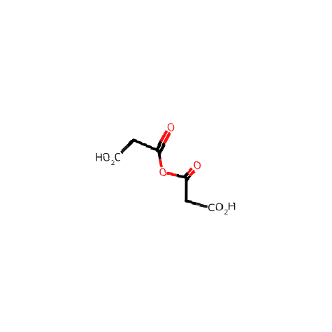 O=C(O)CC(=O)OC(=O)CC(=O)O